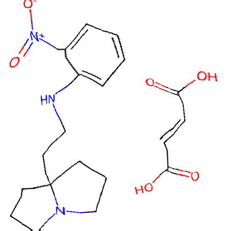 O=C(O)/C=C/C(=O)O.O=[N+]([O-])c1ccccc1NCCC12CCCN1CCC2